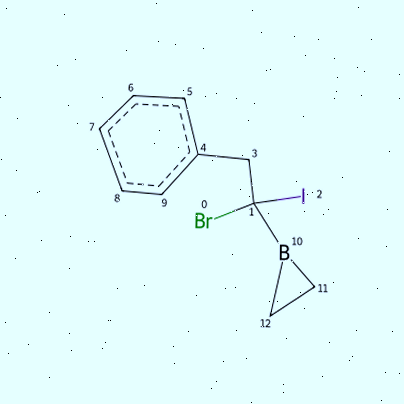 BrC(I)(Cc1ccccc1)B1CC1